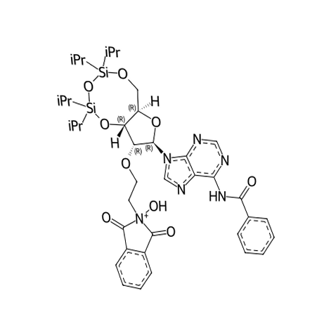 CC(C)[Si]1(C(C)C)OC[C@H]2O[C@@H](n3cnc4c(NC(=O)c5ccccc5)ncnc43)[C@H](OCC[N+]3(O)C(=O)c4ccccc4C3=O)[C@@H]2O[Si](C(C)C)(C(C)C)O1